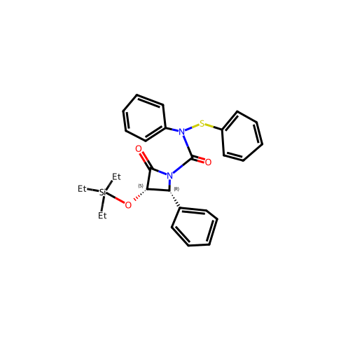 CC[Si](CC)(CC)O[C@@H]1C(=O)N(C(=O)N(Sc2ccccc2)c2ccccc2)[C@@H]1c1ccccc1